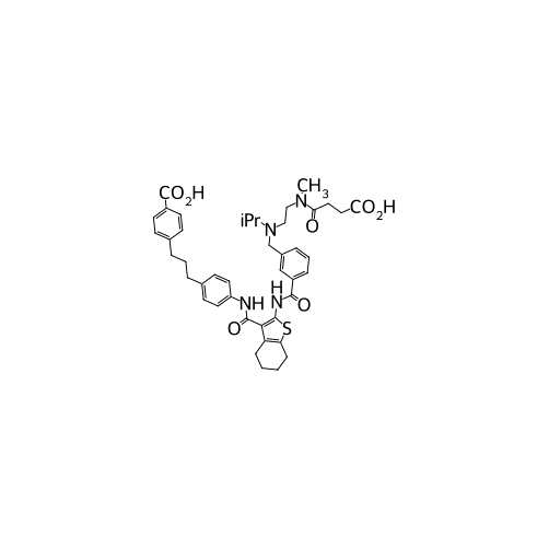 CC(C)N(CCN(C)C(=O)CCC(=O)O)Cc1cccc(C(=O)Nc2sc3c(c2C(=O)Nc2ccc(CCCc4ccc(C(=O)O)cc4)cc2)CCCC3)c1